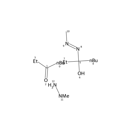 CCCCC(=O)CC.CCCCC(O)(CC)N=NC.CNN